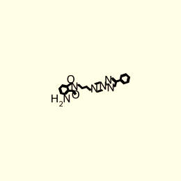 Nc1cccc2c1C(=O)N(CCCCN1CCN(c3ncc(-c4ccccc4)cn3)CC1)C2=O